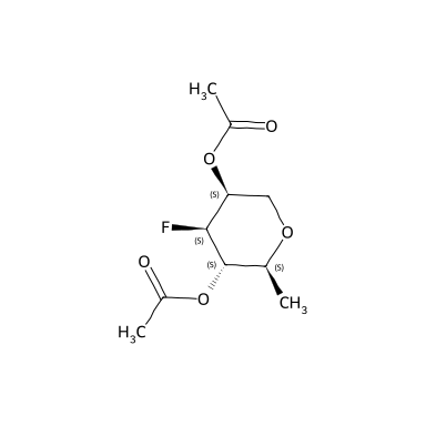 CC(=O)O[C@@H]1[C@@H](F)[C@@H](OC(C)=O)CO[C@H]1C